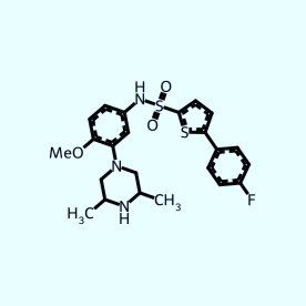 COc1ccc(NS(=O)(=O)c2ccc(-c3ccc(F)cc3)s2)cc1N1CC(C)NC(C)C1